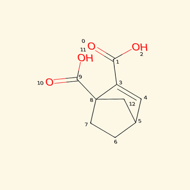 O=C(O)C1=CC2CCC1(C(=O)O)C2